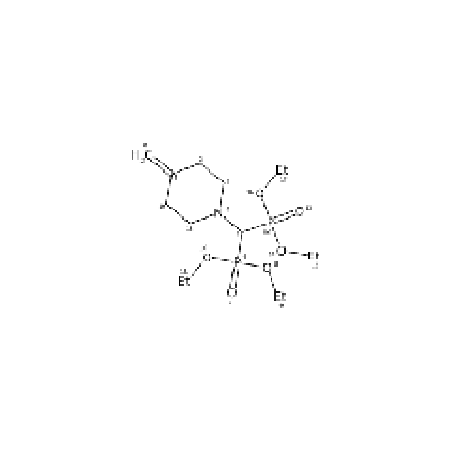 C=C1CCN(C(P(=O)(OCC)OCC)P(=O)(OCC)OCC)CC1